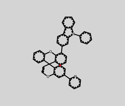 c1ccc(-n2c3ccccc3c3ccc(-c4cccc5c4Oc4ccccc4C54c5ccccc5Oc5cc(-c6ccccn6)ccc54)cc32)cc1